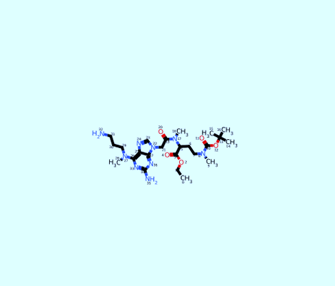 CCOC(=O)C(CCN(C)C(=O)OC(C)(C)C)N(C)C(=O)Cn1cnc2c(N(C)CCCN)nc(N)nc21